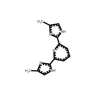 Cc1c[nH]c(-c2cccc(-c3nc(C)c[nH]3)n2)n1